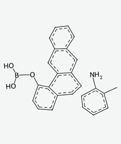 Cc1ccccc1N.OB(O)Oc1cccc2ccc3cc4ccccc4cc3c12